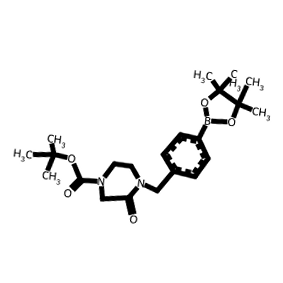 CC(C)(C)OC(=O)N1CCN(Cc2ccc(B3OC(C)(C)C(C)(C)O3)cc2)C(=O)C1